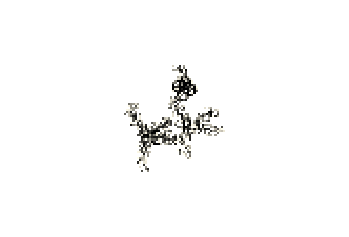 CCCCCC[P+](CCCCCC)(CCCCCC)CCCCCC.CCCCCC[P+](CCCCCC)(CCCCCC)CCCCCC.CCCOP(=O)([O-])[O-]